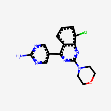 Nc1ncc(-c2nc(N3CCOCC3)nc3c(Cl)cccc23)cn1